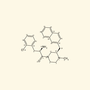 CN1CCN(C(=O)[C@H](N)Cc2ccccc2Cl)C[C@H]1Cc1ccc2ccccc2c1